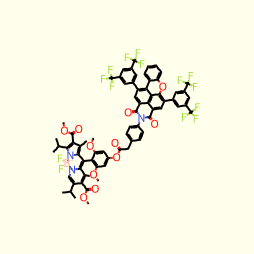 COC(=O)C1=C(C)C2=C(c3c(OC)cc(OC(=O)Cc4ccc(-n5c(=O)c6cc(-c7cc(C(F)(F)F)cc(C(F)(F)F)c7)c7oc8ccccc8c8c(-c9cc(C(F)(F)F)cc(C(F)(F)F)c9)cc(c5=O)c6c78)cc4)cc3OC)c3c(C)c(C(=O)OC)c(C(C)C)n3[B-](F)(F)N2C=C1C(C)C